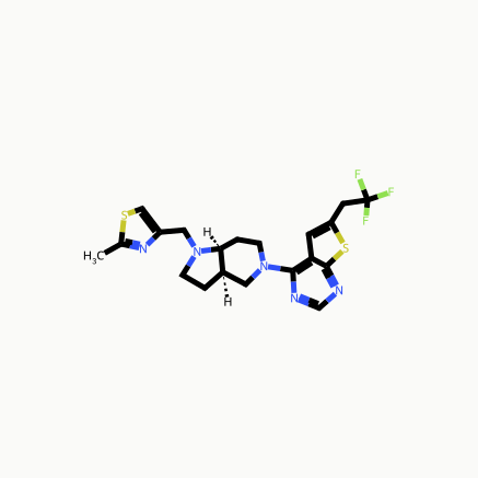 Cc1nc(CN2CC[C@@H]3CN(c4ncnc5sc(CC(F)(F)F)cc45)CC[C@@H]32)cs1